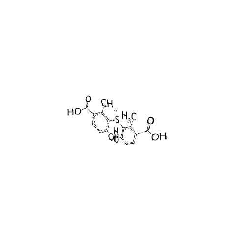 Cc1c(C(=O)O)ccc(O)c1Sc1c(O)ccc(C(=O)O)c1C